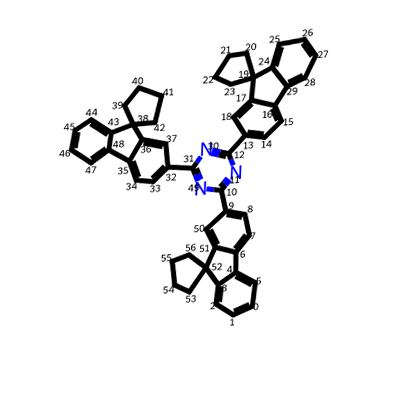 c1ccc2c(c1)-c1ccc(-c3nc(-c4ccc5c(c4)C4(CCCC4)c4ccccc4-5)nc(-c4ccc5c(c4)C4(CCCC4)c4ccccc4-5)n3)cc1C21CCCC1